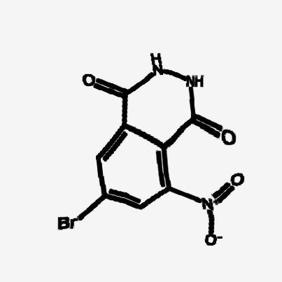 O=c1[nH][nH]c(=O)c2c([N+](=O)[O-])cc(Br)cc12